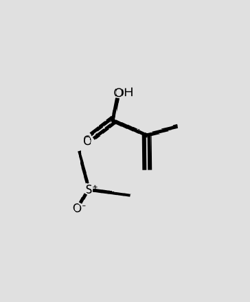 C=C(C)C(=O)O.C[S+](C)[O-]